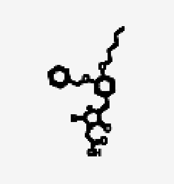 CCCCCOc1ccc(/C=C2\SC(=S)N(CC(=O)O)C2=O)cc1OCc1ccccc1